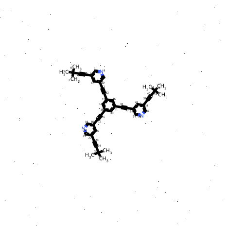 CC(C)(C)C#Cc1cncc(C#Cc2cc(C#Cc3cncc(C#CC(C)(C)C)c3)cc(C#Cc3cncc(C#CC(C)(C)C)c3)c2)c1